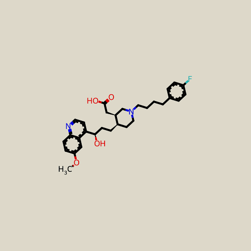 COc1ccc2nccc([C@H](O)CC[C@@H]3CCN(CCCCc4ccc(F)cc4)C[C@@H]3CC(=O)O)c2c1